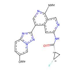 CNc1ncc(-c2nc3ccc(OC)cn3n2)c2cc(NC(=O)[C@@H]3C[C@@H]3F)ncc12